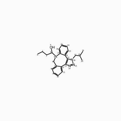 CCCC(O)N1Cc2ccccc2-c2nnn(CC(C)C)c2-c2ccccc21